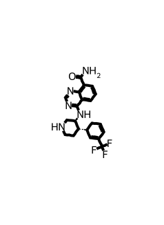 NC(=O)c1cccc2c(N[C@@H]3CNCC[C@H]3C3C=C(C(F)(F)F)C=CC3)ncnc12